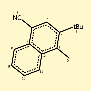 Cc1c(C(C)(C)C)cc(C#N)c2ccccc12